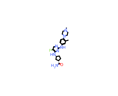 Cc1cc(Nc2ncc(F)c(N[C@H]3CC[C@H](C(N)=O)C3)n2)ccc1N1CCN(C)CC1